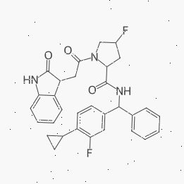 O=C1Nc2ccccc2C1CC(=O)N1CC(F)CC1C(=O)NC(c1ccccc1)c1ccc(C2CC2)c(F)c1